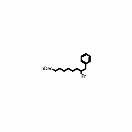 CCCCCCCCCCCCCCCCC(Cc1ccccc1)[C](C)C